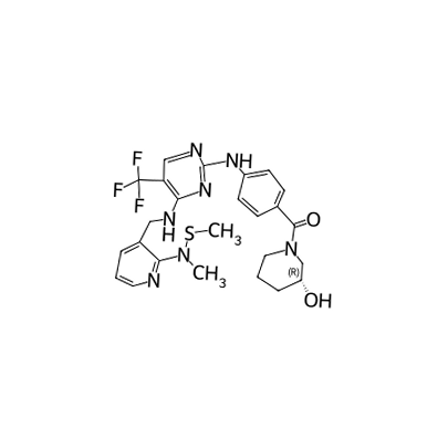 CSN(C)c1ncccc1CNc1nc(Nc2ccc(C(=O)N3CCC[C@@H](O)C3)cc2)ncc1C(F)(F)F